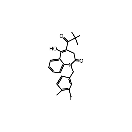 Cc1ccc(CN2C(=O)CC(C(=O)C(C)(C)C)=C(O)c3ccccc32)cc1F